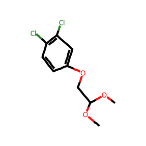 COC(COc1ccc(Cl)c(Cl)c1)OC